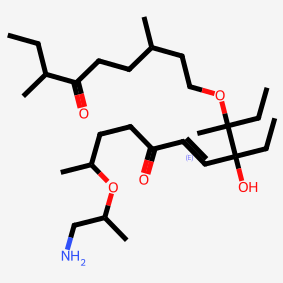 CCC(C)C(=O)CCC(C)CCOC(C)(CC)C(O)(/C=C/C(=O)CCC(C)OC(C)CN)CC